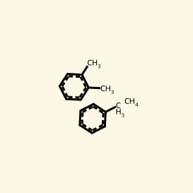 C.Cc1ccccc1.Cc1ccccc1C